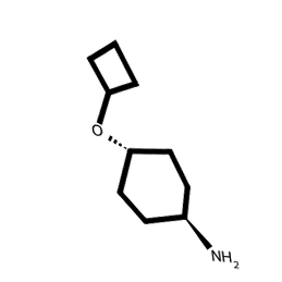 N[C@H]1CC[C@H](OC2CCC2)CC1